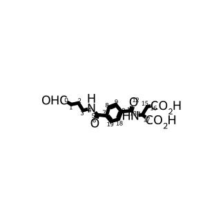 O=CCCCNC(=O)c1ccc(C(=O)NC(CC(=O)O)C(=O)O)cc1